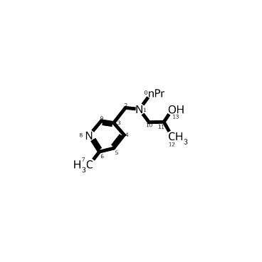 CCCN(Cc1ccc(C)nc1)CC(C)O